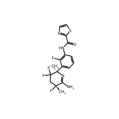 C[C@@]1(F)CC(F)(F)[C@@](C)(c2cccc(NC(=O)c3nccs3)c2F)N=C1N